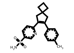 Cc1ccc(C2=C(c3ccc(S(N)(=O)=O)cn3)CC3(CCC3)C2)cc1